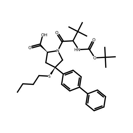 CCCCS[C@@]1(c2ccc(-c3ccccc3)cc2)C[C@@H](C(=O)O)N(C(=O)C(NC(=O)OC(C)(C)C)C(C)(C)C)C1